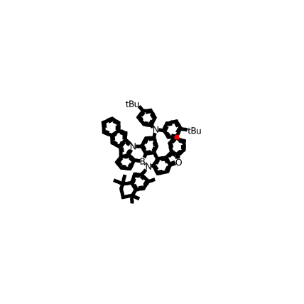 Cc1cc2c(cc1N1B3c4c(cc(N(c5ccc(C(C)(C)C)cc5)c5ccc(C(C)(C)C)cc5)cc4-n4c5cc6ccccc6cc5c5cccc3c54)-c3c1ccc1oc4ccccc4c31)C(C)(C)CCC2(C)C